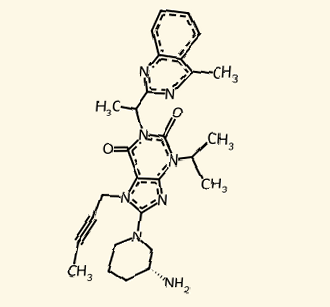 CC#CCn1c(N2CCC[C@@H](N)C2)nc2c1c(=O)n(C(C)c1nc(C)c3ccccc3n1)c(=O)n2C(C)C